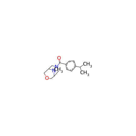 CC(C)c1ccc(C(=O)N2CC3COCC(C2)N3C)cc1